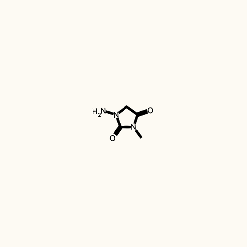 CN1C(=O)CN(N)C1=O